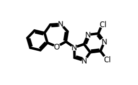 Clc1nc(Cl)c2ncn(C3=CN=Cc4ccccc4O3)c2n1